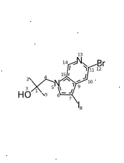 CC(C)(O)Cn1cc(I)c2cc(Br)ncc21